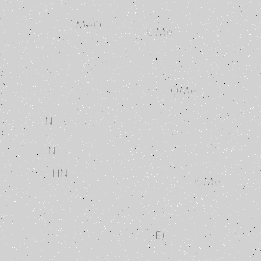 CCc1cc(-c2[nH]nnc2-c2cc(OC)c(OC)c(OC)c2)[c]cc1OC